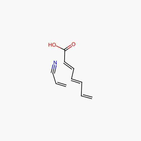 C=CC#N.C=CC=CC=CC(=O)O